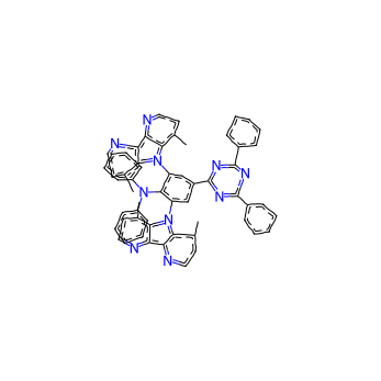 Cc1ccnc2c3nccc(C)c3n(-c3cc(-c4nc(-c5ccccc5)nc(-c5ccccc5)n4)cc(-n4c5c(C)ccnc5c5nccc(C)c54)c3N(c3ccccc3)c3ccccc3)c12